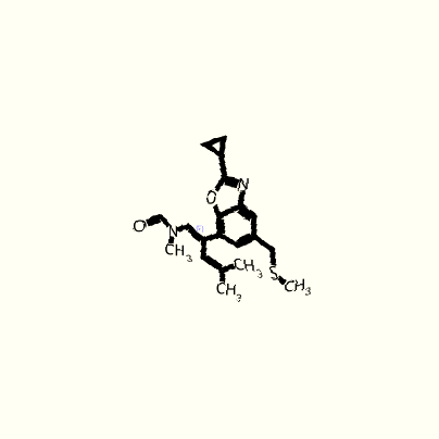 CSCc1cc(/C(C=C(C)C)=C/N(C)C=O)c2oc(C3CC3)nc2c1